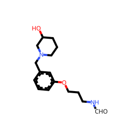 O=CNCCCOc1cccc(CN2CCCC(O)C2)c1